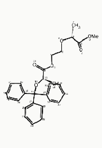 COC(=O)[C@@H](C)OCCOC(=O)[C@@H](C)OC(c1ccccc1)(c1ccccc1)c1ccccc1